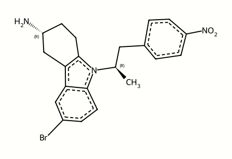 C[C@H](Cc1ccc([N+](=O)[O-])cc1)n1c2c(c3cc(Br)ccc31)C[C@H](N)CC2